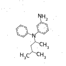 CC(C)CC(C)N(c1ccccc1)c1cccc(N)c1